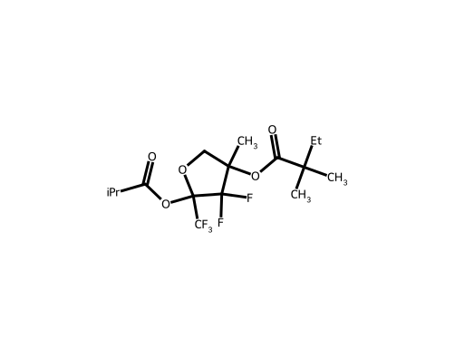 CCC(C)(C)C(=O)OC1(C)COC(OC(=O)C(C)C)(C(F)(F)F)C1(F)F